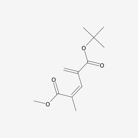 C=C(C=C(C)C(=O)OC)C(=O)OC(C)(C)C